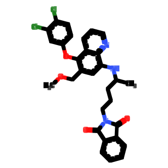 COCc1cc(NC(C)CCCN2C(=O)c3ccccc3C2=O)c2ncccc2c1Oc1ccc(Cl)c(Cl)c1